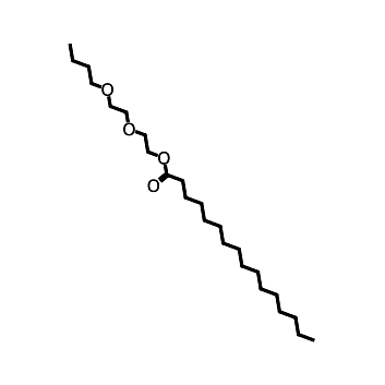 CCCCCCCCCCCCCCCC(=O)OCCOCCOCCCC